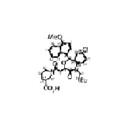 COc1ccc(C2OC(CC(=O)N3CCCC(C(=O)O)C3)C(=O)N(CC(C)(C)C)c3ccc(Cl)cc32)c2ccccc12